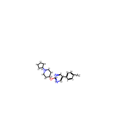 CC(=O)c1ccc(-c2cnc(OC3CCN(C4CCCC4)CC3)nc2)cc1